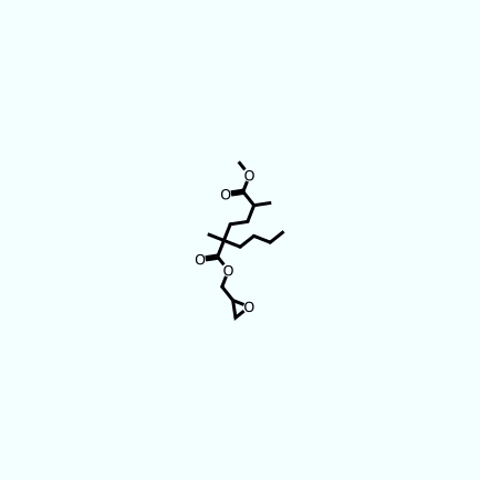 CCCCC(C)(CCC(C)C(=O)OC)C(=O)OCC1CO1